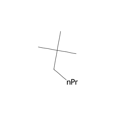 [CH2]CCCC(C)(C)C